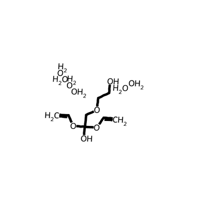 C=COC(O)(COCCO)OC=C.O.O.O.O.O.O